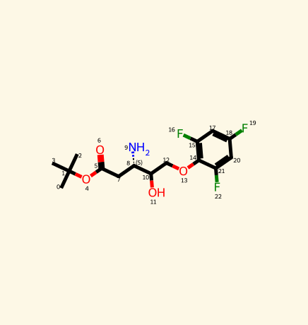 CC(C)(C)OC(=O)C[C@H](N)C(O)COc1c(F)cc(F)cc1F